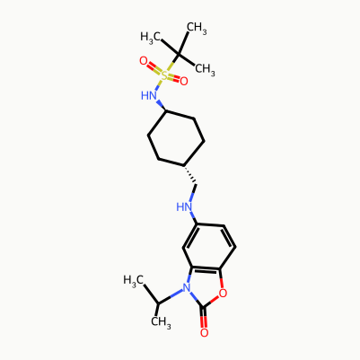 CC(C)n1c(=O)oc2ccc(NC[C@H]3CC[C@H](NS(=O)(=O)C(C)(C)C)CC3)cc21